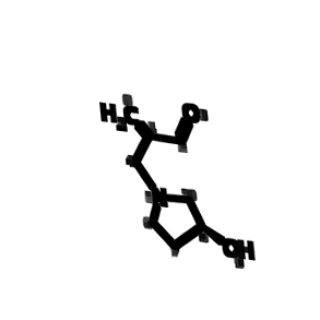 C=C(C=O)CN1CC[C@H](O)C1